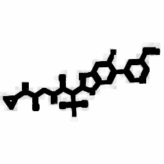 COc1cncc(-c2cc3sc(C(C(=O)NCC(=O)NC4CC4)S(C)(=O)=O)nc3cc2F)c1